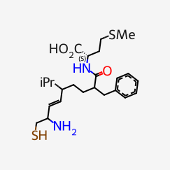 CSCC[C@H](NC(=O)C(CCC(C=CC(N)CS)C(C)C)Cc1ccccc1)C(=O)O